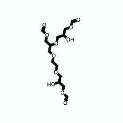 O=COCC(O)COCCOCC(COC=O)OCC(O)COC=O